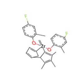 [CH2]=[Zr]([O]c1ccc(F)cc1C)([O]c1ccc(F)cc1C)([C]1=CC=CC1)[C]1=C(C)C(C)=C(C)C1C